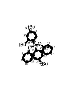 CC(C)(C)c1ccc([PH](Oc2ccccc2)(Oc2ccccc2)c2ccc(C(C)(C)C)cc2C(C)(C)C)c(C(C)(C)C)c1